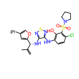 C=C(C)[C@@H](Nc1nsnc1Nc1ccc(Cl)c(S(=O)(=O)N2CCCC2)c1O)c1cc(C(C)C)co1